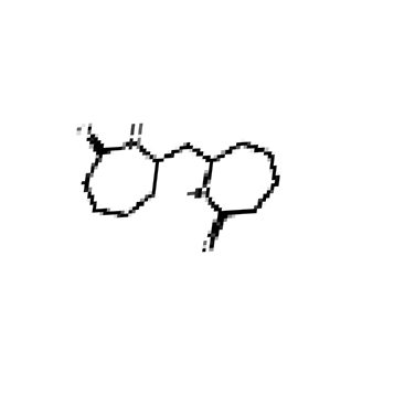 O=C1CCCCC(CC2CCCCC(=O)N2)N1